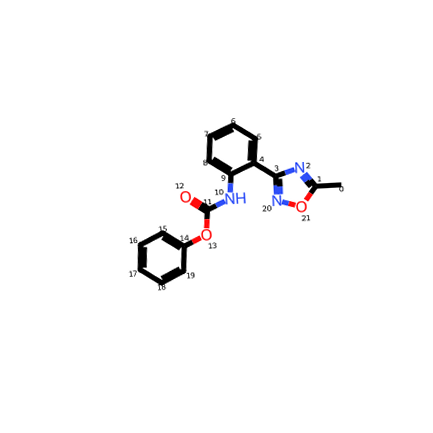 Cc1nc(-c2ccccc2NC(=O)Oc2ccccc2)no1